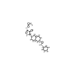 COC[C@H]1OCN(c2ccc3cc(OCc4ccccc4)ccc3c2)C1=O